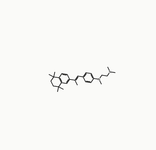 C/C(=C\c1ccc(N(C)CCN(C)C)cc1)c1ccc2c(c1)C(C)(C)CCC2(C)C